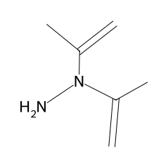 C=C(C)N(N)C(=C)C